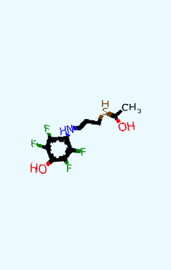 CC(O)=[SH]CCCNc1c(F)c(F)c(O)c(F)c1F